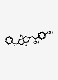 Oc1ccc(C(O)CN2C[C@H]3C[C@@H](Oc4cccnc4)C[C@H]3C2)cc1